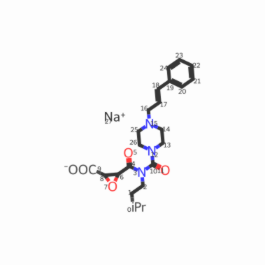 CC(C)CCN(C(=O)C1OC1C(=O)[O-])C(=O)N1CCN(CC=Cc2ccccc2)CC1.[Na+]